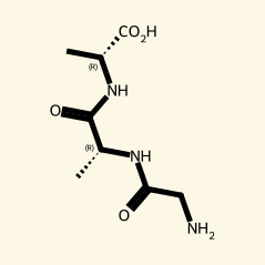 C[C@@H](NC(=O)[C@@H](C)NC(=O)CN)C(=O)O